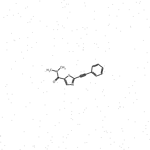 CN(C)C(=O)c1cnc(C#Cc2ccccc2)s1